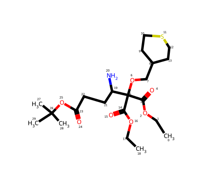 CCOC(=O)C(OCC1CCSCC1)(C(=O)OCC)C(N)CCC(=O)OC(C)(C)C